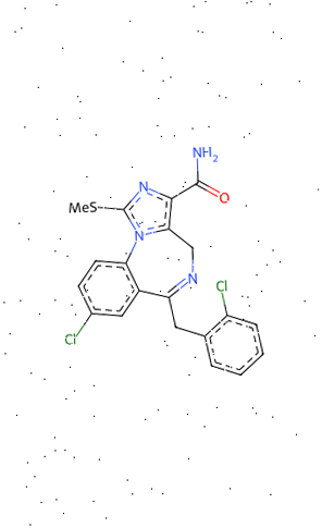 CSc1nc(C(N)=O)c2n1-c1ccc(Cl)cc1C(Cc1ccccc1Cl)=NC2